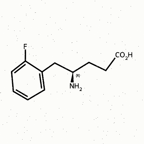 N[C@H](CCC(=O)O)Cc1ccccc1F